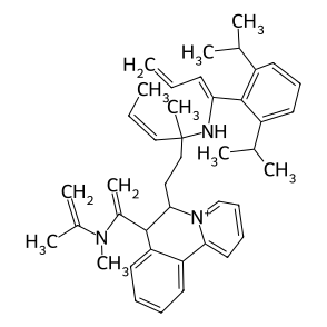 C=C/C=C(\NC(C)(/C=C\C)CCC1C(C(=C)N(C)C(=C)C)c2ccccc2-c2cccc[n+]21)c1c(C(C)C)cccc1C(C)C